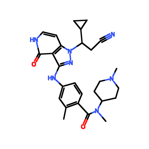 Cc1cc(Nc2nn(C(CC#N)C3CC3)c3cc[nH]c(=O)c23)ccc1C(=O)N(C)C1CCN(C)CC1